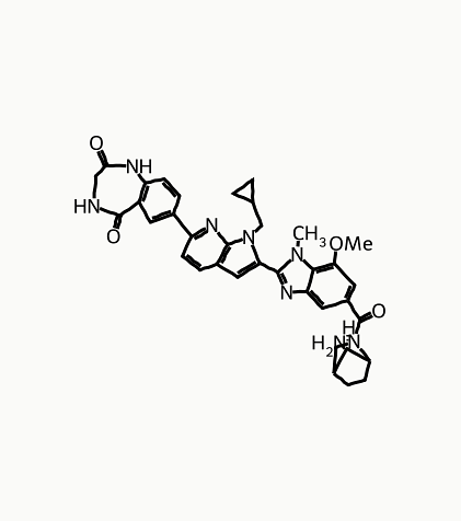 COc1cc(C(=O)N2CC3CCC2[C@@H]3N)cc2nc(-c3cc4ccc(-c5ccc6c(c5)C(=O)NCC(=O)N6)nc4n3CC3CC3)n(C)c12